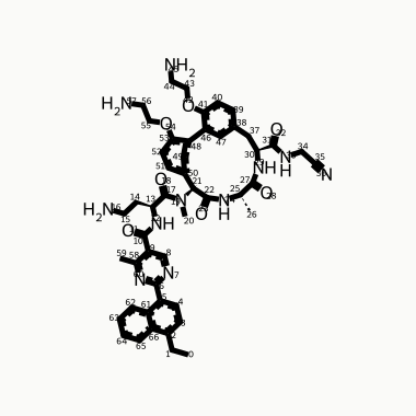 CCc1ccc(-c2ncc(C(=O)N[C@@H](CCN)C(=O)N(C)[C@@H]3C(=O)N[C@@H](C)C(=O)N[C@H](C(=O)NCC#N)Cc4ccc(OCCN)c(c4)-c4cc3ccc4OCCN)c(C)n2)c2ccccc12